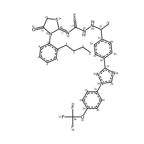 CCCCc1ccccc1N1C(=O)CS/C1=N\C(=S)NNC(C)c1ccc(-c2ncn(-c3ccc(OC(F)(F)F)cc3)n2)cc1